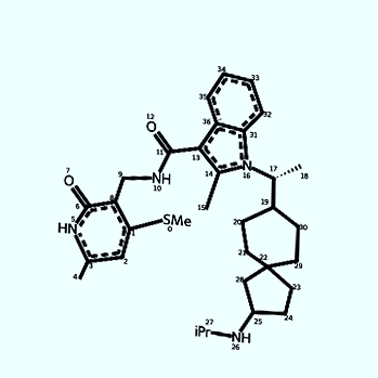 CSc1cc(C)[nH]c(=O)c1CNC(=O)c1c(C)n([C@H](C)C2CCC3(CCC(NC(C)C)C3)CC2)c2ccccc12